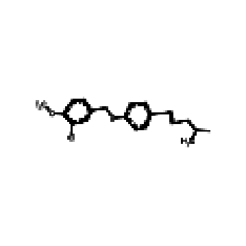 CC(N)CC=Cc1ccc(OCc2ccc(OC(F)(F)F)c(Cl)c2)cc1